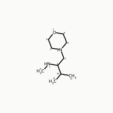 CNC(CN1CCOCC1)C(C)C